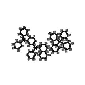 c1ccc(N(c2ccc3c4ccccc4n(-c4ccccc4)c3c2)c2ccc(-c3ccc4c(c3)C(c3ccccc3)(c3ccccc3)c3ccccc3-4)c3ccccc23)cc1